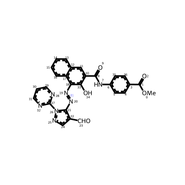 COC(=O)c1ccc(NC(=O)c2cc3ccccc3c(/N=N/c3c(C=O)cnn3-c3ncccn3)c2O)cc1